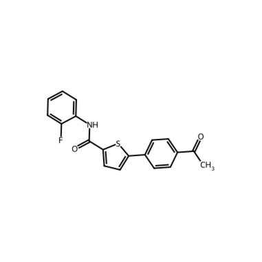 CC(=O)c1ccc(-c2ccc(C(=O)Nc3ccccc3F)s2)cc1